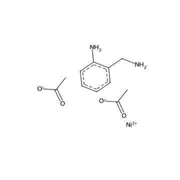 CC(=O)[O-].CC(=O)[O-].NCc1ccccc1N.[Ni+2]